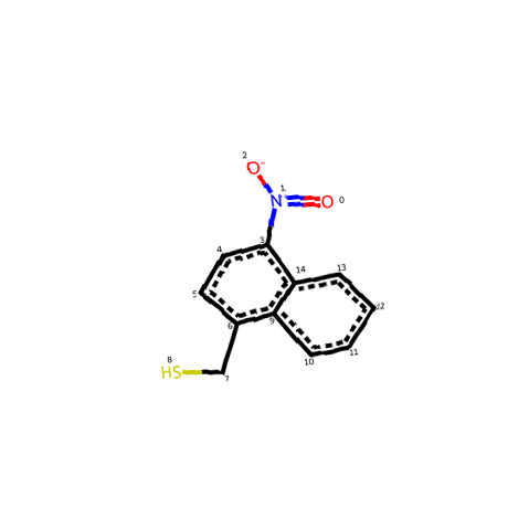 O=[N+]([O-])c1ccc(CS)c2ccccc12